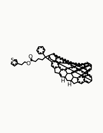 O=C(CCCC1(c2ccccc2)C2c3cc4c5c6c7c8c9c%10c%11c%12c(cc%13c%11c%11c%14c(c%15c3c5c8c%15c%11%10)C21CC%14C=%13)C[C@@H]1C[C@H](C=C6C4)C7C=9C%121)OCCc1ccsc1